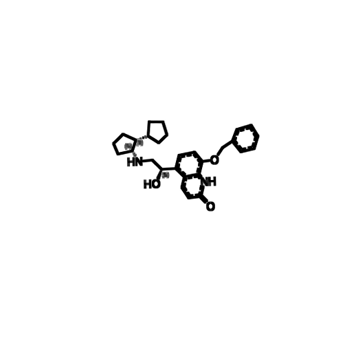 O=c1ccc2c([C@@H](O)CN[C@@H]3CCC[C@@H]3C3CCCC3)ccc(OCc3ccccc3)c2[nH]1